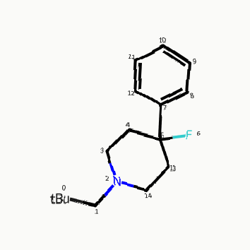 CC(C)(C)CN1CCC(F)(c2ccccc2)CC1